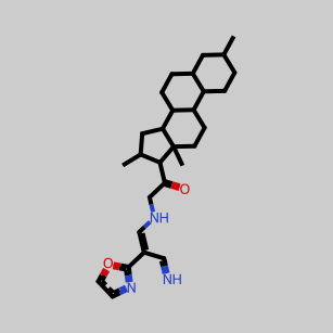 CC1CCC2C(CCC3C2CCC2(C)C3CC(C)C2C(=O)CN/C=C(\C=N)c2ncco2)C1